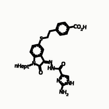 CCCCCCCN1C(=O)C(=NNC(=O)c2c[nH]c(N)n2)c2cc(SCCc3ccc(C(=O)O)cc3)ccc21